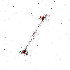 CC(=O)N[C@H]1[C@H]([C@H](O)[C@H](O)CNC(=O)c2ccc(-c3ccccc3)cc2)O[C@@](OCCCSCCOCCOCCOCCOCCOCCNC(=O)c2ccc(C(=O)NCCOCCOCCOCCOCCOCCSCCCO[C@]3(C(=O)O)C[C@H](O)[C@@H](NC(C)=O)[C@H]([C@H](O)[C@H](O)CNC(=O)c4ccc(-c5ccccc5)cc4)O3)cc2)(C(=O)O)C[C@@H]1O